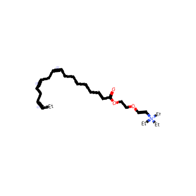 CC/C=C\C/C=C\C/C=C\CCCCCCCC(=O)OCCOCC[N+](CC)(CC)CC